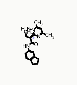 C=C/C(C(=O)Nc1ccc2c(c1)CCC2)=C1/N=C(C)C=C(C)N1N